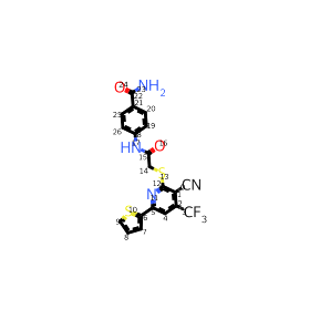 N#Cc1c(C(F)(F)F)cc(-c2cccs2)nc1SCC(=O)Nc1ccc(C(N)=O)cc1